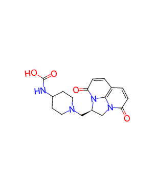 O=C(O)NC1CCN(C[C@@H]2Cn3c(=O)ccc4ccc(=O)n2c43)CC1